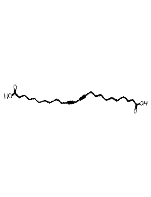 O=C(O)CCCCCCCCCC#CC#CCCCCCCCCCC(=O)O